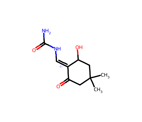 CC1(C)CC(=O)/C(=C/NC(N)=O)C(O)C1